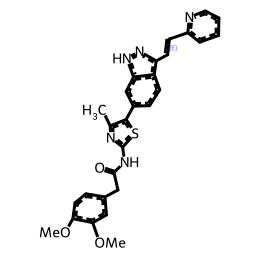 COc1ccc(CC(=O)Nc2nc(C)c(-c3ccc4c(/C=C/c5ccccn5)n[nH]c4c3)s2)cc1OC